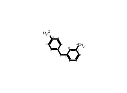 [CH2]c1cccc(Cc2ccc(C)cc2)c1